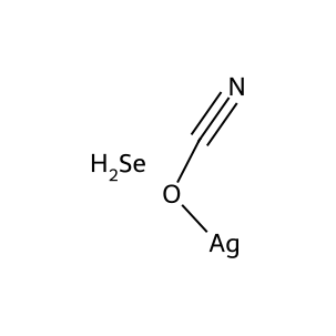 N#C[O][Ag].[SeH2]